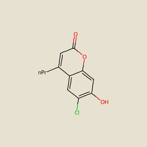 CCCc1cc(=O)oc2cc(O)c(Cl)cc12